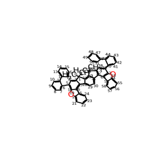 CC1(C)c2cc(-c3ccccc3-c3ccccc3)c3oc4ccccc4c3c2-c2ccc3c(c21)C(C)(C)c1cc(-c2ccccc2-c2ccccc2)c2oc4ccccc4c2c1-3